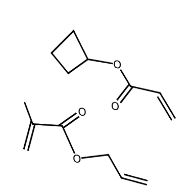 C=CC(=O)OC1CCC1.C=CCOC(=O)C(=C)C